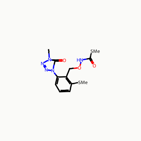 CSC(=O)NOCc1c(SC)cccc1-n1nnn(C)c1=O